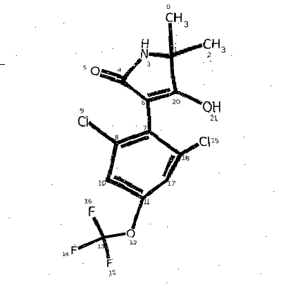 CC1(C)NC(=O)C(c2c(Cl)cc(OC(F)(F)F)cc2Cl)=C1O